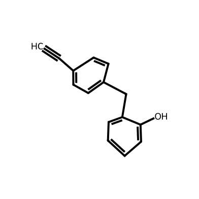 C#Cc1ccc(Cc2ccccc2O)cc1